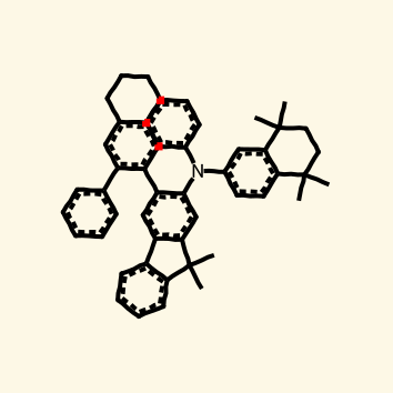 CC1(C)CCC(C)(C)c2cc(N(c3ccccc3)c3cc4c(cc3-c3cc5c(cc3-c3ccccc3)CCCC5)-c3ccccc3C4(C)C)ccc21